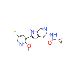 COc1ncc(F)cc1-c1cc2cc(NC(=O)C3CC3)ncc2n1C